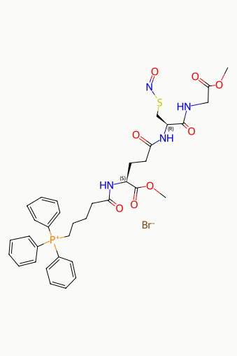 COC(=O)CNC(=O)[C@H](CSN=O)NC(=O)CC[C@H](NC(=O)CCCC[P+](c1ccccc1)(c1ccccc1)c1ccccc1)C(=O)OC.[Br-]